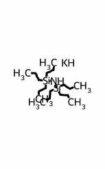 CCC[Si](CCC)(CCC)N[Si](CCC)(CCC)CCC.[KH]